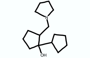 OC1(C2CCCC2)CCCC1CN1CCCC1